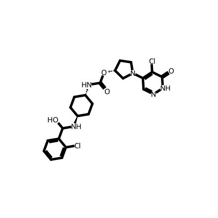 O=C(N[C@H]1CC[C@H](NC(O)c2ccccc2Cl)CC1)O[C@@H]1CCN(c2cn[nH]c(=O)c2Cl)C1